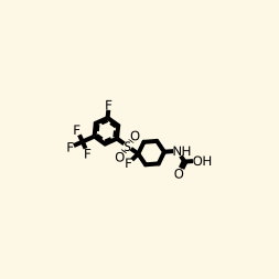 O=C(O)NC1CCC(F)(S(=O)(=O)c2cc(F)cc(C(F)(F)F)c2)CC1